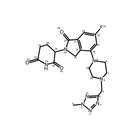 Cn1nnc(CN2CCN(c3cc(F)cc4c3CN(C3CCC(=O)NC3=O)C4=O)CC2)n1